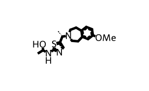 COc1ccc2c(c1)CCN([C@@H](C)c1cnc(NC(C)O)s1)CC2